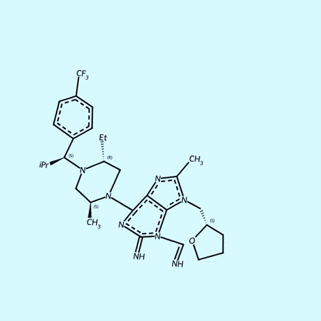 CC[C@@H]1CN(c2nc(=N)n(C=N)c3c2nc(C)n3C[C@@H]2CCCO2)[C@@H](C)CN1[C@H](c1ccc(C(F)(F)F)cc1)C(C)C